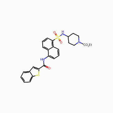 CCOC(=O)N1CCC(NS(=O)(=O)c2cccc3c(NC(=O)c4cc5ccccc5s4)cccc23)CC1